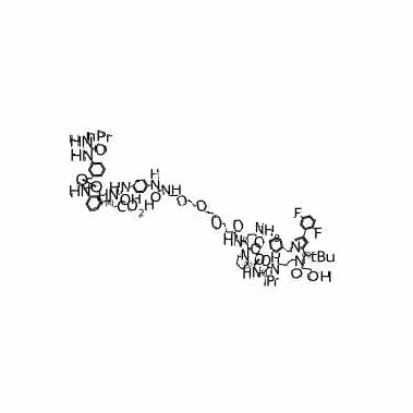 CCCNC(=O)Nc1cccc(S(=O)(=O)Nc2cccc([C@@H](CC(=O)O)NC(O)Nc3ccc(NC(=O)NCCOCCOCCOCCC(=O)N[C@@H](CC(N)=O)C(=O)N4CCC[C@H]4C(=O)N[C@H](C(=O)NCCCN(C(=O)CO)[C@@H](c4cc(-c5cc(F)ccc5F)cn4Cc4ccccc4)C(C)(C)C)C(C)C)cc3)c2)c1